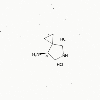 Cl.Cl.N[C@@H]1CNCC12CC2